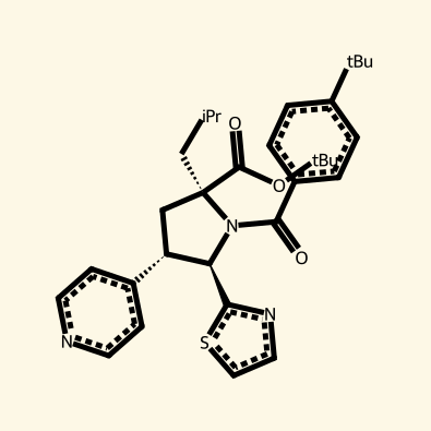 CC(C)C[C@@]1(C(=O)OC(C)(C)C)C[C@@H](c2ccncc2)[C@H](c2nccs2)N1C(=O)c1ccc(C(C)(C)C)cc1